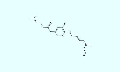 C=CCN(C)C/C=C/COc1ccc(CC(=O)CCC=C(C)C)cc1F